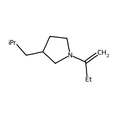 C=C(CC)N1CCC(CC(C)C)C1